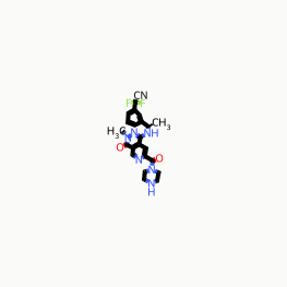 C[C@@H](Nc1nn(C)c(=O)c2cnc(C(=O)N3CCNCC3)cc12)c1cccc(C(F)(F)C#N)c1